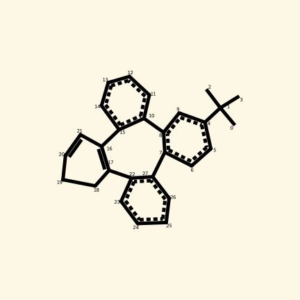 CC(C)(C)c1ccc2c(c1)-c1ccccc1C1=C(CCC=C1)c1ccccc1-2